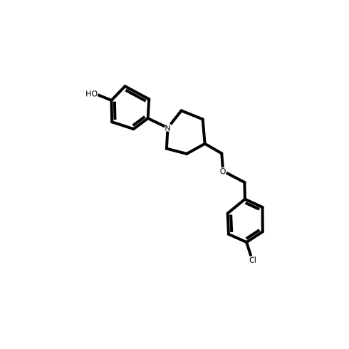 Oc1ccc(N2CCC(COCc3ccc(Cl)cc3)CC2)cc1